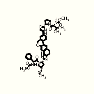 COC[C@H]1C[C@@H](c2nc3c([nH]2)-c2cc4c(cc2CC3)-c2ccc(-c3cnc([C@@H]5CCCN5C(=O)[C@@H](NC(=O)OC)C(C)C)[nH]3)cc2CO4)N(C(=O)[C@H](NC(=O)OC)c2ccccc2)C1